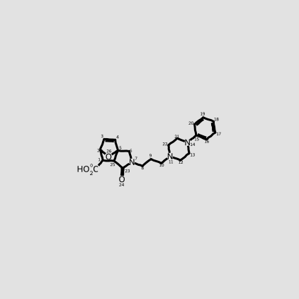 O=C(O)C1C2C=CC3(CN(CCCN4CCN(c5ccccc5)CC4)C(=O)C13)O2